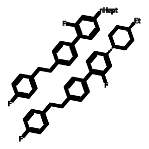 CCCCCCCc1ccc(-c2ccc(CCc3ccc(F)cc3)cc2)c(F)c1.CC[C@H]1CC[C@H](c2ccc(-c3ccc(CCc4ccc(F)cc4)cc3)c(F)c2)CC1